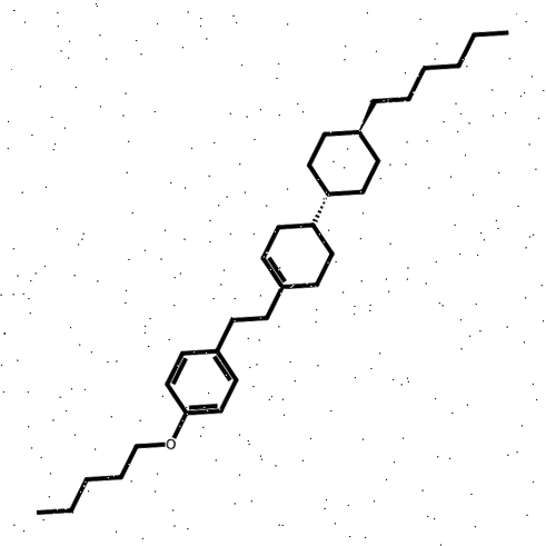 CCCCCC[C@H]1CC[C@H](C2CC=C(CCc3ccc(OCCCCC)cc3)CC2)CC1